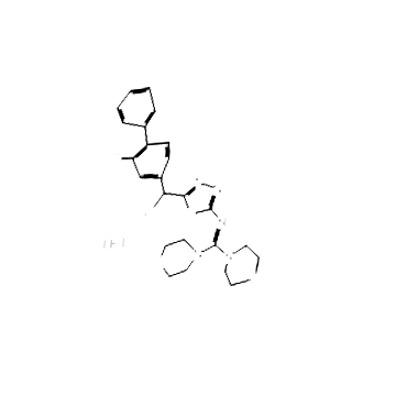 CC(c1ccc(-c2ccccc2)c(F)c1)c1nnc(N=C(N2CCOCC2)N2CCOCC2)s1.Cl